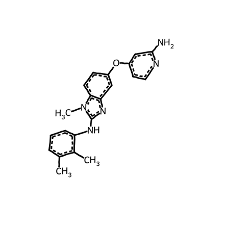 Cc1cccc(Nc2nc3cc(Oc4ccnc(N)c4)ccc3n2C)c1C